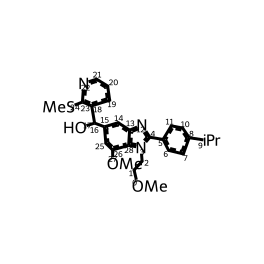 COCCn1c(-c2ccc(C(C)C)cc2)nc2cc(C(O)c3cccnc3SC)cc(OC)c21